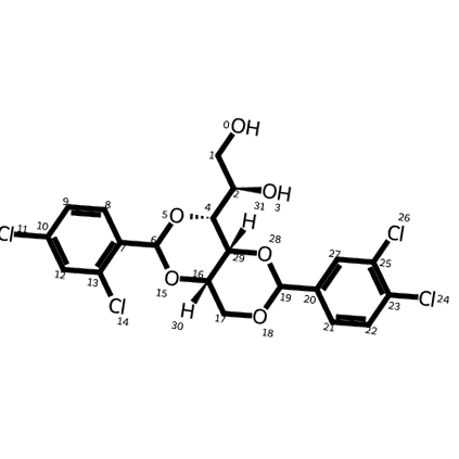 OC[C@@H](O)[C@H]1OC(c2ccc(Cl)cc2Cl)O[C@H]2COC(c3ccc(Cl)c(Cl)c3)O[C@@H]12